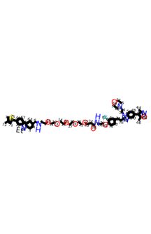 CCn1c2ccc(CNCCOCCOCCOCCOCCOCCC(=O)NCCOc3ccc(CCc4nc5cc(-c6c(C)noc6C)ccc5n4CCN4CCOCC4)cc3F)cc2c2ccc(-c3cc(C)cs3)cc21